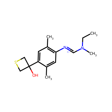 CCN(C)/C=N/c1cc(C)c(C2(O)CSC2)cc1C